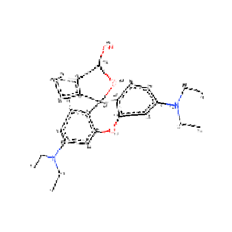 CCN(CC)c1ccc2c(c1)Oc1cc(N(CC)CC)ccc1C21OC(O)c2ccccc21